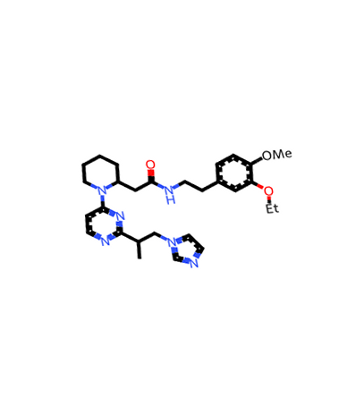 CCOc1cc(CCNC(=O)CC2CCCCN2c2ccnc(C(C)Cn3ccnc3)n2)ccc1OC